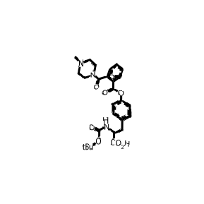 CN1CCN(C(=O)c2c(C(=O)Oc3ccc(CC(NC(=O)OC(C)(C)C)C(=O)O)cc3)c3ccc2o3)CC1